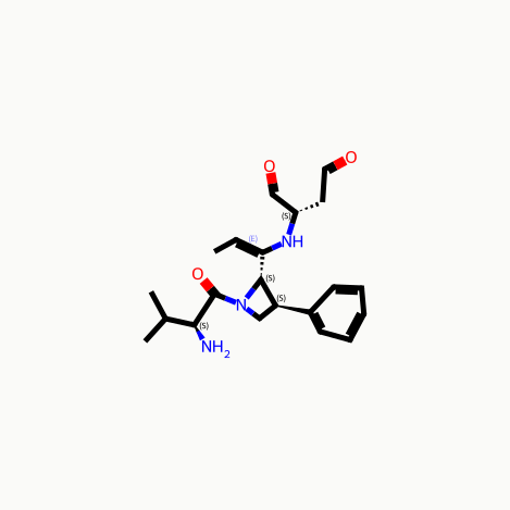 C/C=C(/N[C@H](C=O)CC=O)[C@@H]1[C@@H](c2ccccc2)CN1C(=O)[C@@H](N)C(C)C